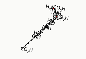 NN[C@@H](CCCCNC(=O)CC[C@H](NC(=O)CCCNC(=O)COCCOCCNC(=O)COCCOCCNC(=O)CCCNC(=O)CCCCCCCCCCCCCCCCC(=O)O)C(=O)O)C(=O)O